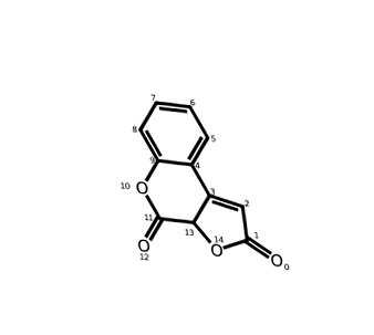 O=C1C=C2c3ccccc3OC(=O)C2O1